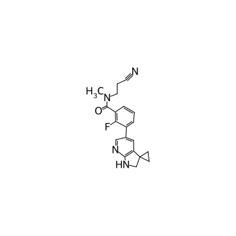 CN(CCC#N)C(=O)c1cccc(-c2cnc3c(c2)C2(CC2)CN3)c1F